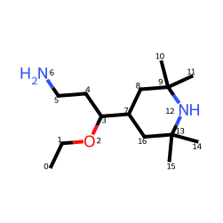 CCOC(CCN)C1CC(C)(C)NC(C)(C)C1